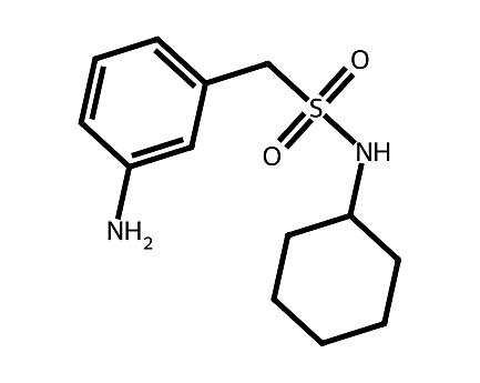 Nc1cccc(CS(=O)(=O)NC2CCCCC2)c1